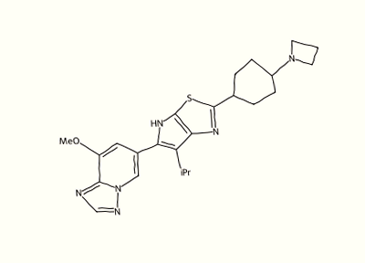 COc1cc(-c2[nH]c3sc(C4CCC(N5CCC5)CC4)nc3c2C(C)C)cn2ncnc12